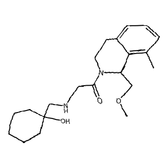 COCC1c2c(C)cccc2CCN1C(=O)CNCC1(O)CCCCC1